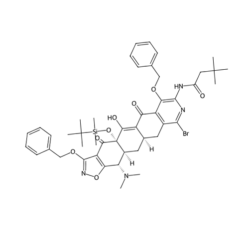 CN(C)[C@@H]1c2onc(OCc3ccccc3)c2C(=O)[C@@]2(O[Si](C)(C)C(C)(C)C)C(O)=C3C(=O)c4c(c(Br)nc(NC(=O)CC(C)(C)C)c4OCc4ccccc4)C[C@H]3C[C@@H]12